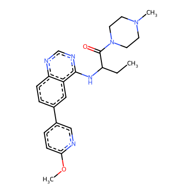 CCC(Nc1ncnc2ccc(-c3ccc(OC)nc3)cc12)C(=O)N1CCN(C)CC1